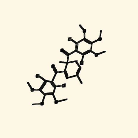 COc1c(Cl)c(C(=O)C2=CC(C)=C[CH]C2(C)C(=O)c2c(Cl)c(OC)c(OC)c(OC)c2Cl)c(Cl)c(OC)c1OC